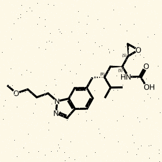 COCCCn1ncc2ccc(C[C@H](C[C@H](NC(=O)O)[C@H]3CO3)C(C)C)cc21